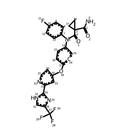 NC(=O)C1(C(=O)N(c2ccc(F)cc2)c2ccc(Oc3ccnc(-c4nc(C(F)(F)F)c[nH]4)c3)cc2)CC1